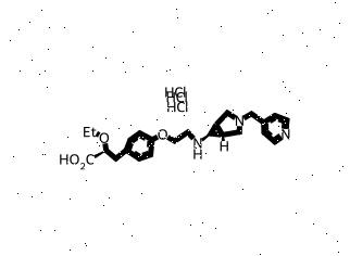 CCO[C@@H](Cc1ccc(OCCN[C@H]2C3CN(Cc4ccncc4)C[C@@H]32)cc1)C(=O)O.Cl.Cl.Cl